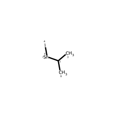 C[CH](C)[Sn][I]